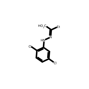 CC/C(=N/Nc1cc(Cl)ccc1Cl)C(=O)O